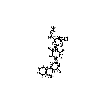 Cc1nc(-c2ccccc2O)nc(N2CC(C)N(c3nc(Cl)nc(C=[N+]=[N-])n3)C(C)C2)n1